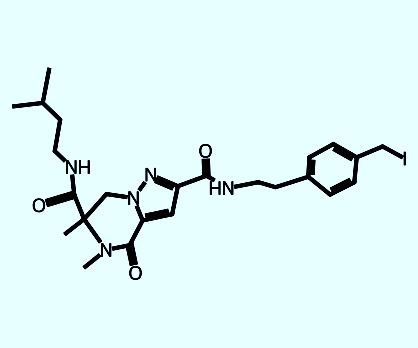 CC(C)CCNC(=O)C1(C)Cn2nc(C(=O)NCCc3ccc(CI)cc3)cc2C(=O)N1C